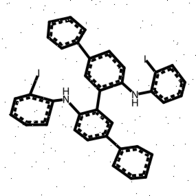 Ic1ccccc1Nc1ccc(-c2ccccc2)cc1-c1cc(-c2ccccc2)ccc1Nc1ccccc1I